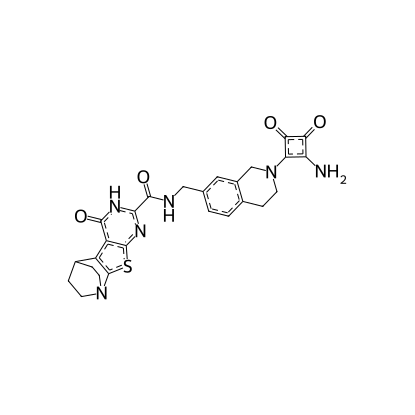 Nc1c(N2CCc3ccc(CNC(=O)c4nc5sc6c(c5c(=O)[nH]4)C4CCN6CC4)cc3C2)c(=O)c1=O